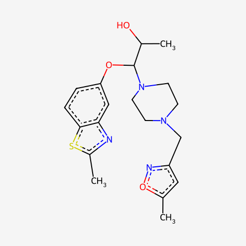 Cc1cc(CN2CCN(C(Oc3ccc4sc(C)nc4c3)C(C)O)CC2)no1